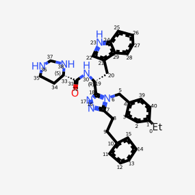 CCc1ccc(Cn2c(CCc3ccccc3)nnc2[C@@H](Cc2c[nH]c3ccccc23)NC(=O)[C@@H]2CCNCN2)cc1